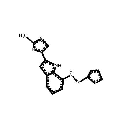 Cc1nc(-c2cc3cccc(NSc4cccs4)c3[nH]2)cs1